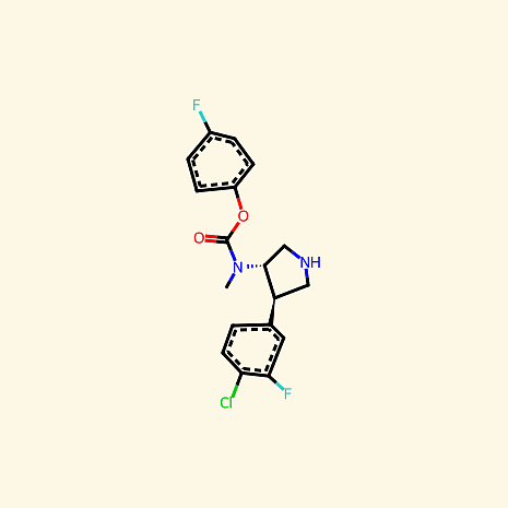 CN(C(=O)Oc1ccc(F)cc1)[C@@H]1CNC[C@H]1c1ccc(Cl)c(F)c1